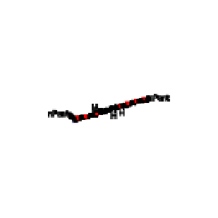 CCCCCC=CCC=CCCCCCCCCNCCCNCCCCNCCCNCCCCCCCC/C=C\CC=CCCCCC